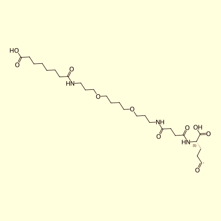 O=[C]CC[C@H](NC(=O)CCC(=O)NCCCOCCCCOCCCNC(=O)CCCCCCC(=O)O)C(=O)O